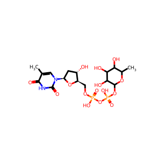 Cc1cn([C@H]2C[C@H](O)[C@@H](COP(=O)(O)OP(=O)(O)OC3OC(C)C(O)C(O)C3O)O2)c(=O)[nH]c1=O